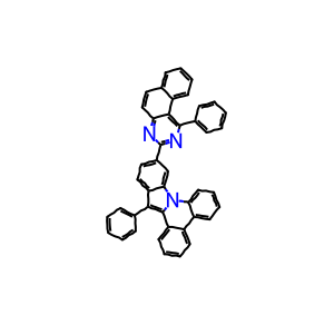 c1ccc(-c2nc(-c3ccc4c(-c5ccccc5)c5c6ccccc6c6ccccc6n5c4c3)nc3ccc4ccccc4c23)cc1